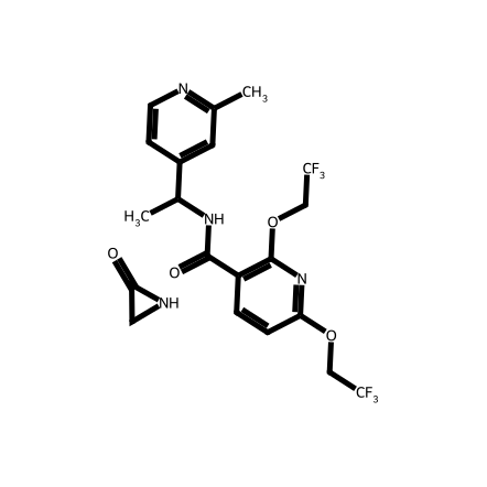 Cc1cc(C(C)NC(=O)c2ccc(OCC(F)(F)F)nc2OCC(F)(F)F)ccn1.O=C1CN1